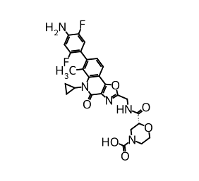 Cc1c(-c2cc(F)c(N)cc2F)ccc2c3oc(CNC(=O)[C@H]4CN(C(=O)O)CCO4)nc3c(=O)n(C3CC3)c12